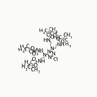 CC(C)(C)OC(=O)NCCN(CCNC(=O)OC(C)(C)C)c1nc(Cl)nc(N(CCNC(=O)OC(C)(C)C)CCNC(=O)OC(C)(C)C)n1